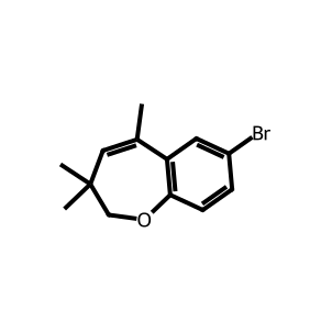 CC1=CC(C)(C)COc2ccc(Br)cc21